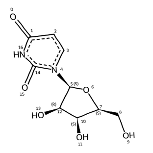 O=c1ccn([C@H]2O[C@@H](CO)[C@@H](O)[C@H]2O)c(=O)[nH]1